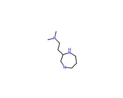 CN(C)CCC1C[N]CCCN1